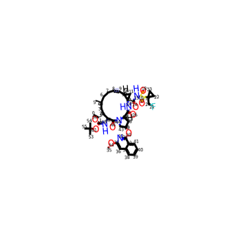 CC[C@@H]1C[C@@H](C)CC/C=C\[C@@H]2C[C@@]2(C(=O)NS(=O)(=O)C2(CF)CC2)NC(=O)[C@@H]2C[C@@H](Oc3nc(OC)cc4ccccc34)CN2C(=O)[C@H]1NC(=O)OC(C)(C)C